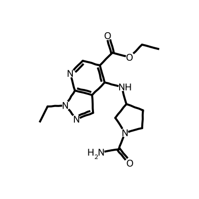 CCOC(=O)c1cnc2c(cnn2CC)c1NC1CCN(C(N)=O)C1